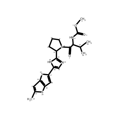 COC(=O)NC(C(=O)N1CCCC1c1ncc(-c2cc3sc(C)cc3s2)[nH]1)C(C)C